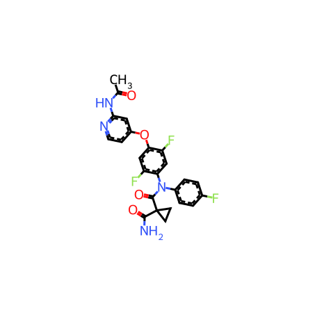 CC(=O)Nc1cc(Oc2cc(F)c(N(C(=O)C3(C(N)=O)CC3)c3ccc(F)cc3)cc2F)ccn1